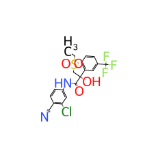 CCS(=O)(=O)CC(O)(C(=O)Nc1ccc(C#N)c(Cl)c1)c1cccc(C(F)(F)F)c1